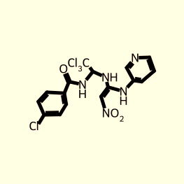 O=C(NC(N/C(=C/[N+](=O)[O-])Nc1cccnc1)C(Cl)(Cl)Cl)c1ccc(Cl)cc1